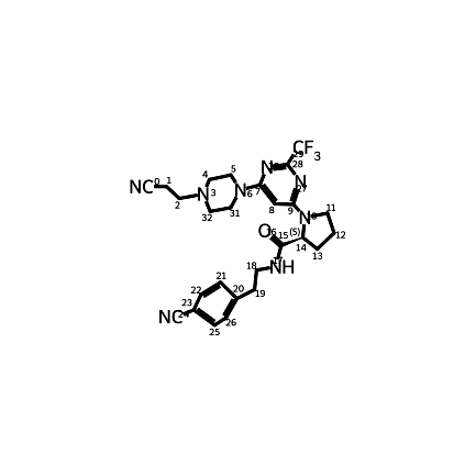 N#CCCN1CCN(c2cc(N3CCC[C@H]3C(=O)NCCc3ccc(C#N)cc3)nc(C(F)(F)F)n2)CC1